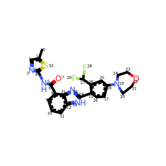 Cc1cnc(NC(=O)c2cccc3[nH]c(-c4ccc(N5CCOCC5)cc4C(F)F)nc23)s1